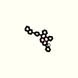 c1ccc(-c2cccc3c2oc2ccccc23)c(-c2c3ccccc3c(-c3ccc(-c4ccc5ccccc5c4)cc3)c3ccccc23)c1